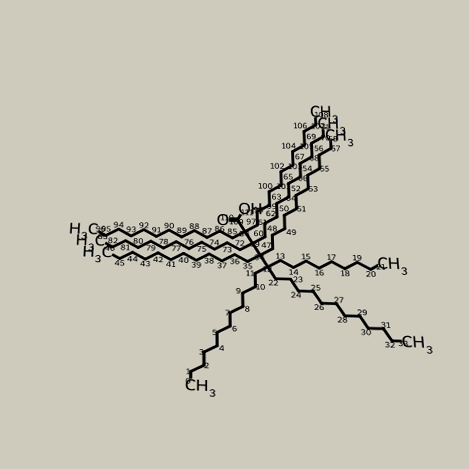 CCCCCCCCCCCCC(CCCCCCCCC)(CCCCCCCCCCCC)C(CCCCCCCCCCCC)(CCCCCCCCCCCC)C(CCCCCCCCCCCC)(CCCCCCCCCCCC)C(CCCCCCCCCCCC)(CCCCCCCCCCCC)C(=O)O